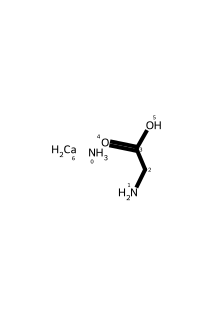 N.NCC(=O)O.[CaH2]